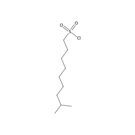 CC(C)CCCCCCCS(=O)(=O)Cl